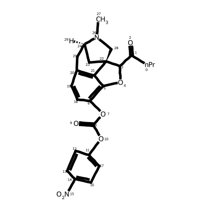 CCCC(=O)C1Oc2c(OC(=O)Oc3ccc([N+](=O)[O-])cc3)ccc3c2[C@]12C[C@@H](C3)N(C)C2